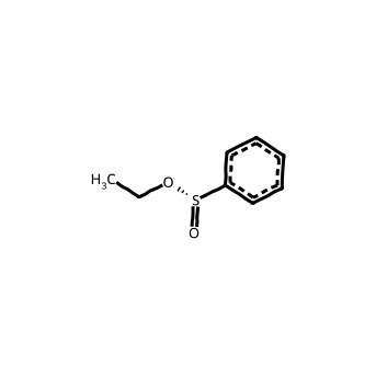 CCO[S@@](=O)c1ccccc1